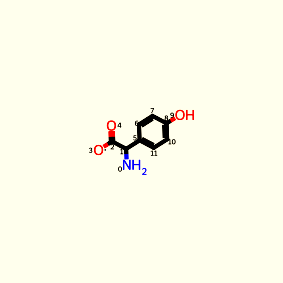 NC(C([O])=O)c1ccc(O)cc1